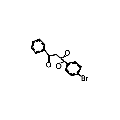 O=C(CS(=O)(=O)c1ccc(Br)cc1)c1ccccc1